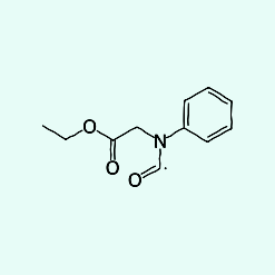 CCOC(=O)CN([C]=O)c1ccccc1